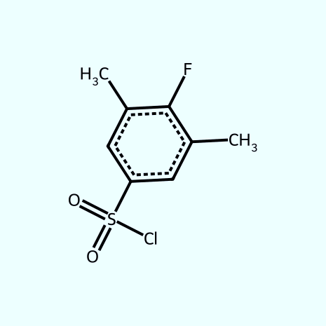 Cc1cc(S(=O)(=O)Cl)cc(C)c1F